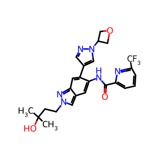 CC(C)(O)CCn1cc2cc(NC(=O)c3cccc(C(F)(F)F)n3)c(-c3cnn(C4COC4)c3)cc2n1